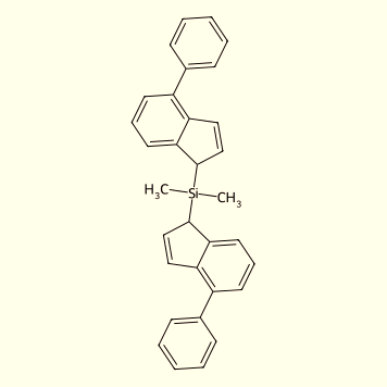 C[Si](C)(C1C=Cc2c(-c3ccccc3)cccc21)C1C=Cc2c(-c3ccccc3)cccc21